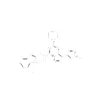 Clc1cccc2nc(CNc3nc(N4CCOCC4)nc4c(-c5cnn(I)c5)cnn34)[nH]c12